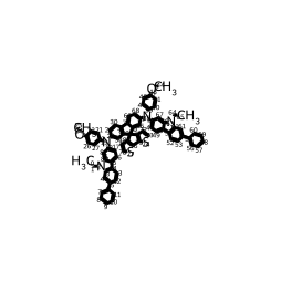 CCn1c2cc(-c3ccccc3)ccc2c2ccc(N(c3ccc(OC)cc3)c3ccc4c(c3)C3(c5cc(N(c6ccc(OC)cc6)c6ccc7c8ccc(-c9ccccc9)cc8n(CC)c7c6)ccc5-4)c4ccsc4-c4sccc43)cc21